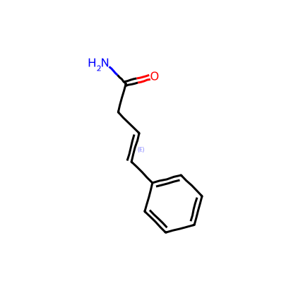 NC(=O)C/C=C/c1ccccc1